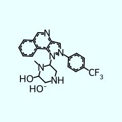 CN1C(O)CNCC1[n+]1c2c(cn1-c1ccc(C(F)(F)F)cc1)ncc1ccccc12.[OH-]